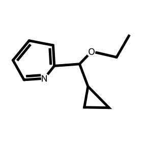 CCOC(c1ccccn1)C1CC1